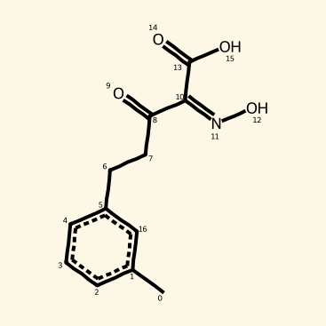 Cc1cccc(CCC(=O)C(=NO)C(=O)O)c1